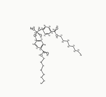 CCCCCCCCOC(=O)c1ccc(OP(=O)(O)Oc2ccc(C(=O)OCCCCCCCC)cc2)cc1